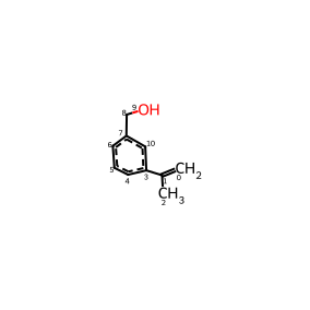 C=C(C)c1cccc(CO)c1